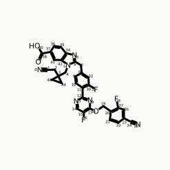 N#CCC1(Cn2c(Cc3ccc(-c4ncc(F)c(OCc5ccc(C#N)cc5F)n4)c(F)c3)nc3ccc(C(=O)O)cc32)CC1